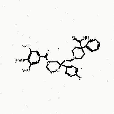 COc1cc(C(=O)N2CCOC(CCN3CCC(C(N)=O)(c4ccccc4)CC3)(c3ccc(F)cc3)C2)cc(OC)c1OC